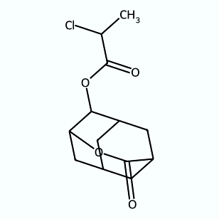 CC(Cl)C(=O)OC1C2CC3CC(C2)C(=O)OC1C3